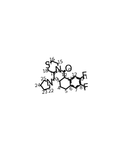 O=C(C1CCCc2cc(F)c(F)cc21)N1CCSCC1CN1CCCC1